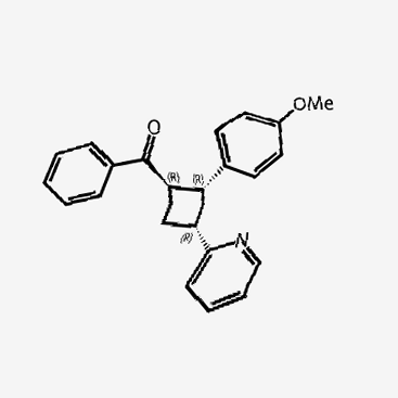 COc1ccc([C@H]2[C@H](C(=O)c3ccccc3)C[C@H]2c2ccccn2)cc1